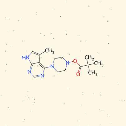 Cc1c[nH]c2ncnc(N3CCN(OC(=O)C(C)(C)C)CC3)c12